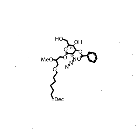 CCCCCCCCCCCCCCCCOCC(CO[C@@H]1OC(CO)[C@H](O)C(OC(=O)c2ccccc2)[C@@H]1N=[N+]=[N-])OC